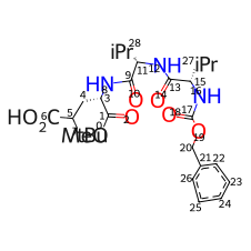 COC(=O)[C@H](CC(C(=O)O)C(C)(C)C)NC(=O)[C@@H](NC(=O)[C@@H](NC(=O)OCc1ccccc1)C(C)C)C(C)C